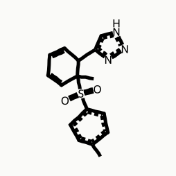 Cc1ccc(S(=O)(=O)C2(C)C=CC=CC2c2c[nH]nn2)cc1